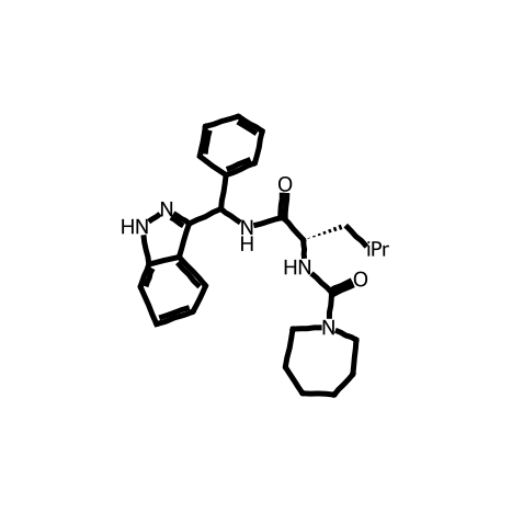 CC(C)C[C@H](NC(=O)N1CCCCCC1)C(=O)NC(c1ccccc1)c1n[nH]c2ccccc12